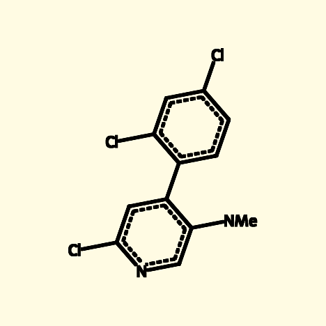 CNc1cnc(Cl)cc1-c1ccc(Cl)cc1Cl